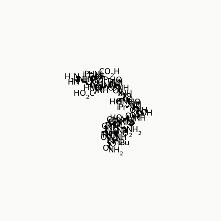 CC[C@H](C)[C@H](NC(=O)[C@H](C)N)C(=O)N[C@@H](CCC(N)=O)C(=O)N[C@@H](CC(C)C)C(=O)N[C@H](C(=O)N[C@@H](CCC(N)=O)C(=O)N[C@@H](CO)C(=O)N1CCC[C@H]1C(=O)N[C@@H](CO)C(=O)N[C@@H](CO)C(=O)N[C@@H](CC(C)C)C(=O)N[C@@H](CO)C(=O)N[C@@H](C)C(=O)N[C@@H](CO)C(=O)N[C@H](C(=O)NCC(=O)N[C@@H](CC(=O)O)C(=O)N[C@@H](CCCNC(=N)N)C(=O)N[C@H](C(=O)N[C@H](C(=O)O)[C@@H](C)O)C(C)C)C(C)C)[C@@H](C)O